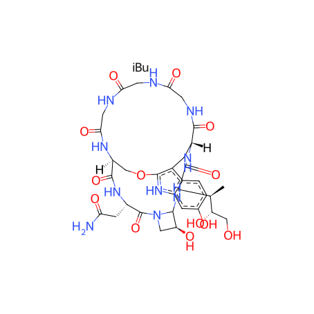 CC[C@H](C)C1NC(=O)CNC(=O)[C@H]2Cc3c([nH]c4cc(O)ccc34)OC[C@H](NC(=O)CNC1=O)C(=O)N[C@@H](CC(N)=O)C(=O)N1C[C@H](O)C1N[C@@H]([C@@H](C)[C@@H](O)CO)C(=O)N2